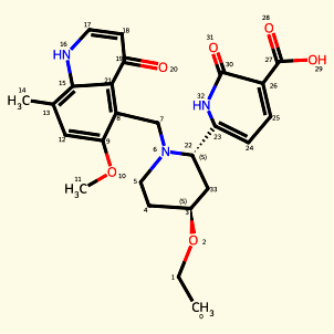 CCO[C@H]1CCN(Cc2c(OC)cc(C)c3[nH]ccc(=O)c23)[C@H](c2ccc(C(=O)O)c(=O)[nH]2)C1